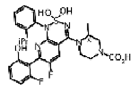 CC(C)c1ccccc1N1c2nc(-c3c(O)cccc3F)c(F)cc2C(N2CCN(C(=O)O)C[C@@H]2C)=NS1(O)O